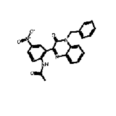 CC(=O)Nc1ccc([N+](=O)[O-])cc1-c1nc2ccccc2n(Cc2ccccc2)c1=O